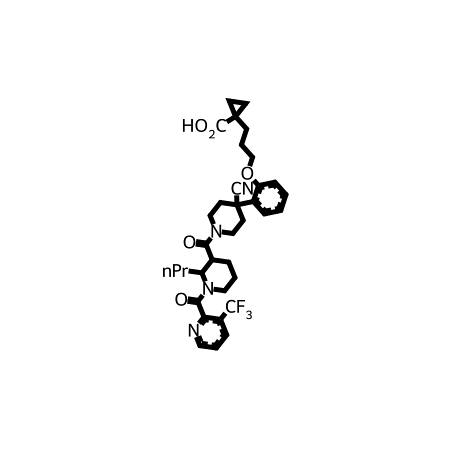 CCCC1C(C(=O)N2CCC(C#N)(c3ccccc3OCCCC3(C(=O)O)CC3)CC2)CCCN1C(=O)c1ncccc1C(F)(F)F